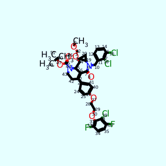 COCOCC1C(C(=O)N(Cc2cccc(Cl)c2Cl)C2CC2)=C(c2ccc(OCCOc3c(F)ccc(F)c3Cl)cc2)CCN1C(=O)OC(C)(C)C